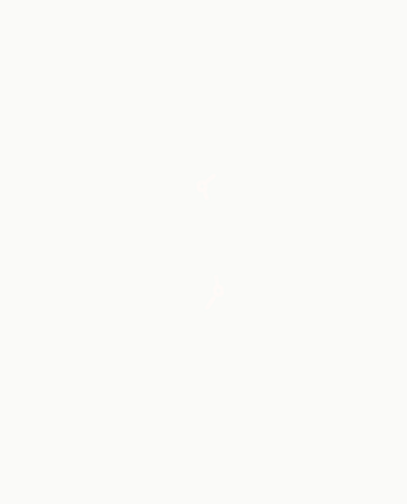 C=CC(C)Oc1ccc(Oc2ccc(F)cc2)cc1